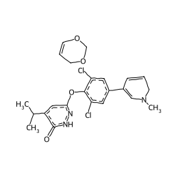 C1=COCOC1.CC(C)c1cc(Oc2c(Cl)cc(C3=CN(C)CC=C3)cc2Cl)n[nH]c1=O